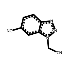 N#CCn1nnc2ccc(C#N)cc21